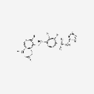 COc1ccc(F)c(CNc2ccc(S(=O)(=O)Nc3cscn3)c(F)c2F)c1CN(C)C